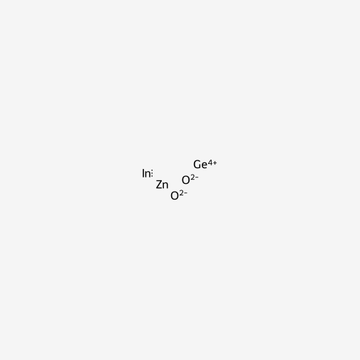 [Ge+4].[In].[O-2].[O-2].[Zn]